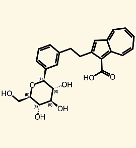 O=C(O)c1c(CCc2cccc([C@@H]3O[C@H](CO)[C@@H](O)[C@H](O)[C@H]3O)c2)cc2cccccc1-2